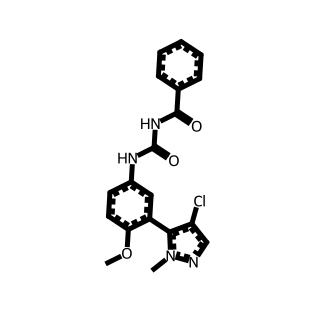 COc1ccc(NC(=O)NC(=O)c2ccccc2)cc1-c1c(Cl)cnn1C